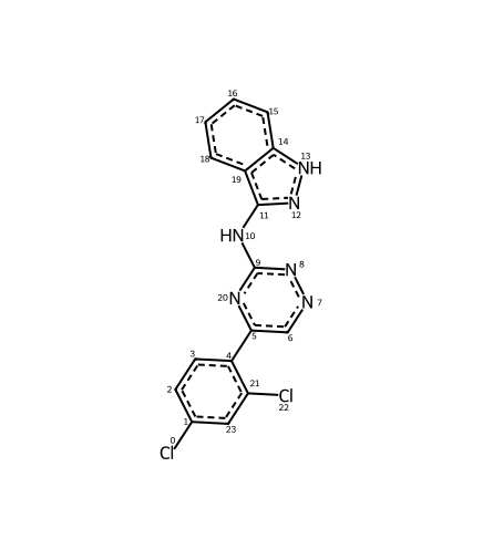 Clc1ccc(-c2cnnc(Nc3n[nH]c4ccccc34)n2)c(Cl)c1